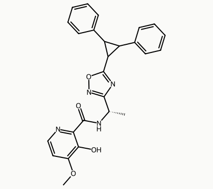 COc1ccnc(C(=O)N[C@@H](C)c2noc(C3C(c4ccccc4)C3c3ccccc3)n2)c1O